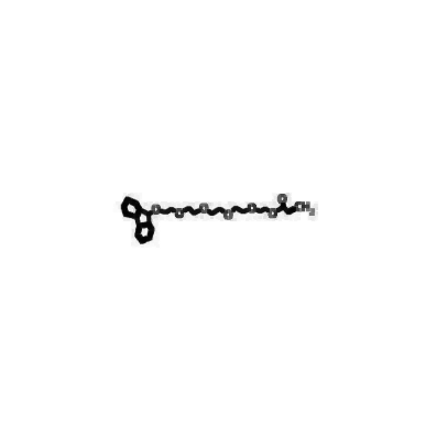 C=CC(=O)OCCOCCOCCOCCOCCOC1c2ccccc2-c2ccccc21